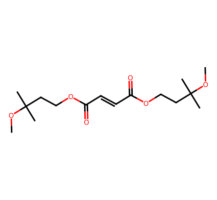 COC(C)(C)CCOC(=O)C=CC(=O)OCCC(C)(C)OC